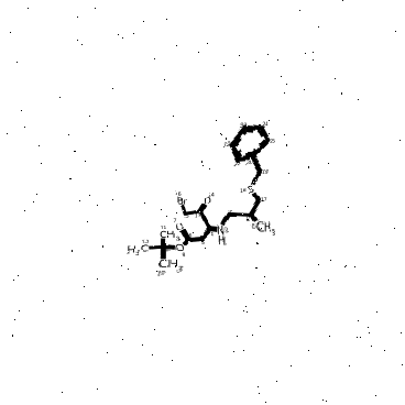 CC(CNC(CC(=O)OC(C)(C)C)C(=O)CBr)CSCc1ccccc1